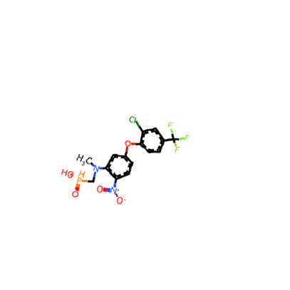 CN(C[PH](=O)O)c1cc(Oc2ccc(C(F)(F)F)cc2Cl)ccc1[N+](=O)[O-]